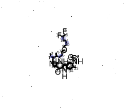 C/C=C(\C(C)/C=C\COC/C=C\C=C(\F)CF)n1ncc(C(=O)c2cc3cc(N[S+](C)[O-])c(C)cc3[nH]2)c1N